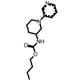 CCCCOC(=O)NC1CCCN(c2cccnc2)C1